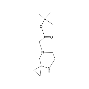 CC(C)(C)OC(=O)CN1CCNC2(CC2)C1